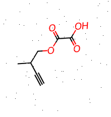 C#CC(C)COC(=O)C(=O)O